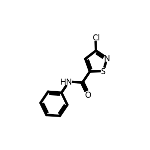 O=C(Nc1ccccc1)c1cc(Cl)ns1